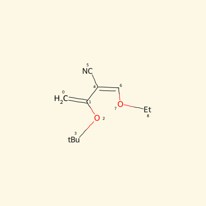 C=C(OC(C)(C)C)/C(C#N)=C\OCC